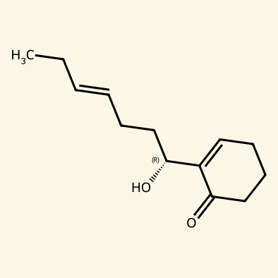 CCC=CCC[C@@H](O)C1=CCCCC1=O